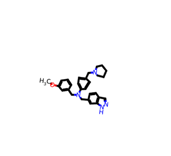 COc1cccc(CN(Cc2ccc3cn[nH]c3c2)c2ccc(CN3CCCCC3)cc2)c1